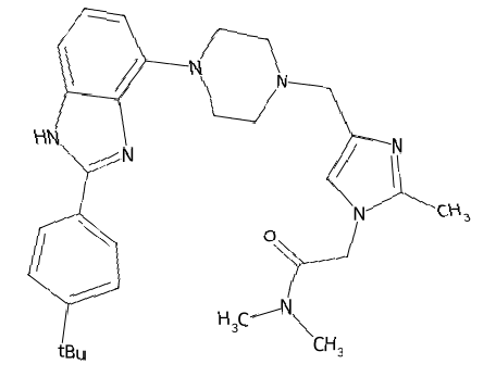 Cc1nc(CN2CCN(c3cccc4[nH]c(-c5ccc(C(C)(C)C)cc5)nc34)CC2)cn1CC(=O)N(C)C